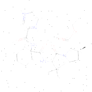 CCOC(=O)[C@@H]1[C@@H](C)CCN1C(=O)[C@@H](NC(=O)C1(NC(=O)c2cnccn2)CCCCC1)C(C)(C)C